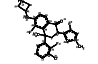 Cn1cc(F)c(N2CC(C)(c3cccc(Cl)c3F)c3c(ccc(NC4CNC4)c3F)C2=O)n1